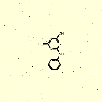 Oc1nc(O)nc(Nc2ccccc2)n1